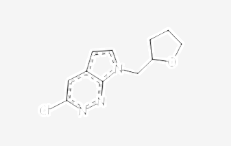 Clc1cc2ccn(CC3CCCO3)c2nn1